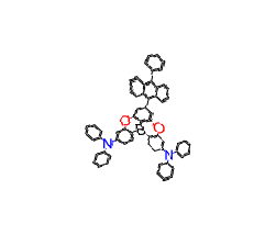 C1=C(N(c2ccccc2)c2ccccc2)CCC2=C1Oc1cc(-c3c4ccccc4c(-c4ccccc4)c4ccccc34)cc3c1B2c1ccc(N(c2ccccc2)c2ccccc2)cc1O3